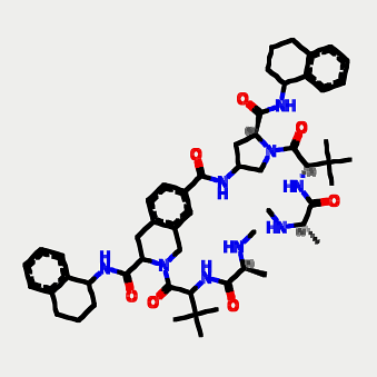 CN[C@@H](C)C(=O)NC(C(=O)N1Cc2cc(C(=O)NC3C[C@@H](C(=O)NC4CCCc5ccccc54)N(C(=O)[C@@H](NC(=O)[C@H](C)NC)C(C)(C)C)C3)ccc2CC1C(=O)NC1CCCc2ccccc21)C(C)(C)C